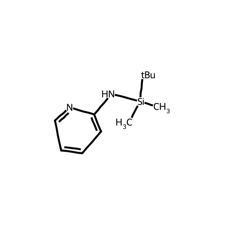 CC(C)(C)[Si](C)(C)Nc1ccccn1